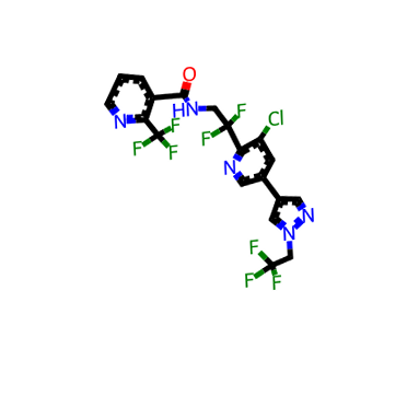 O=C(NCC(F)(F)c1ncc(-c2cnn(CC(F)(F)F)c2)cc1Cl)c1cccnc1C(F)(F)F